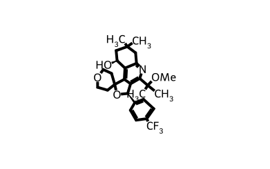 COC(C)(C)c1nc2c(c3c1[C@@H](c1ccc(C(F)(F)F)cc1)OC31CCOCC1)[C@@H](O)CC(C)(C)C2